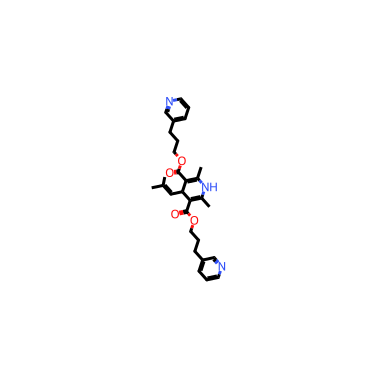 CC(C)=CC1C(C(=O)OCCCc2cccnc2)=C(C)NC(C)=C1C(=O)OCCCc1cccnc1